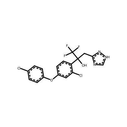 OC(Cc1nc[nH]n1)(c1ccc(Oc2ccc(Cl)cc2)cc1Cl)C(F)(F)F